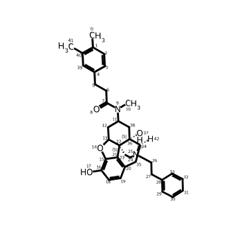 Cc1ccc(CCC(=O)N(C)C2CC3Oc4c(O)ccc5c4[C@@]34CCN(CCc3ccccc3)[C@H](C5)[C@]4(O)C2)cc1C